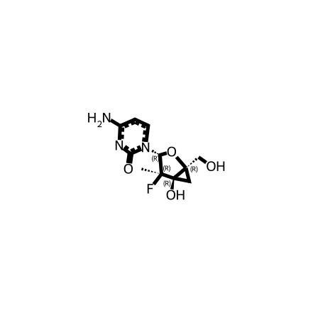 C[C@]1(F)[C@H](n2ccc(N)nc2=O)O[C@@]2(CO)C[C@@]21O